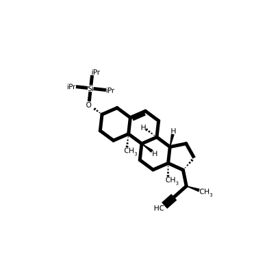 C#C[C@H](C)[C@H]1CC[C@H]2[C@@H]3CC=C4C[C@@H](O[Si](C(C)C)(C(C)C)C(C)C)CC[C@]4(C)[C@H]3CC[C@]12C